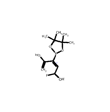 C=C(O)/C(=C\C(O)F)B1OC(C)(C)C(C)(C)O1